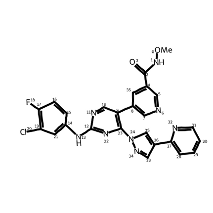 CONC(=O)c1cncc(-c2cnc(Nc3ccc(F)c(Cl)c3)nc2-n2cc(-c3ccccn3)cn2)c1